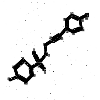 Cc1ccc(S(=O)(=O)OCC#Cc2ccc(Cl)cc2)cc1